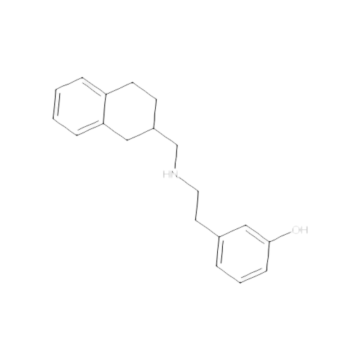 Oc1cccc(CCNCC2CCc3ccccc3C2)c1